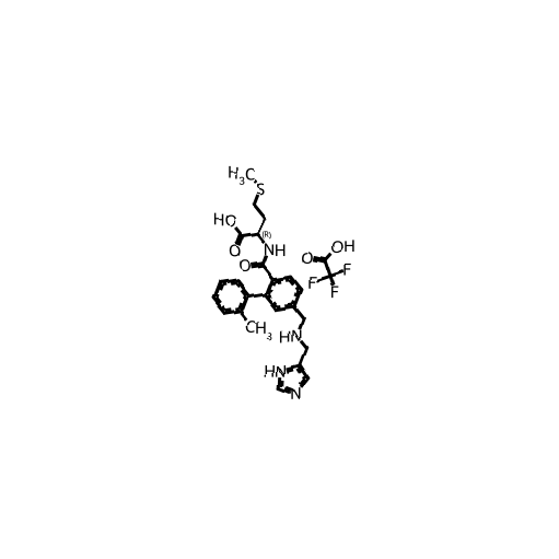 CSCC[C@@H](NC(=O)c1ccc(CNCc2cnc[nH]2)cc1-c1ccccc1C)C(=O)O.O=C(O)C(F)(F)F